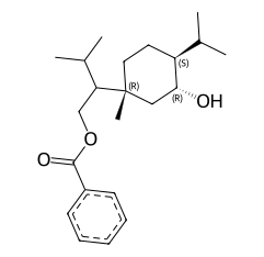 CC(C)C(COC(=O)c1ccccc1)[C@]1(C)CC[C@@H](C(C)C)[C@H](O)C1